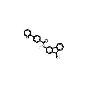 CCC1c2ccccc2-c2cc(NC(=O)c3ccc(-c4ccccn4)cc3)ccc21